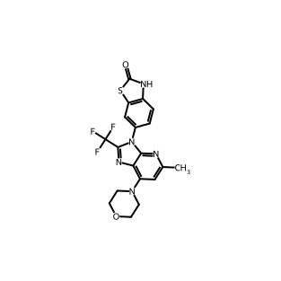 Cc1cc(N2CCOCC2)c2nc(C(F)(F)F)n(-c3ccc4[nH]c(=O)sc4c3)c2n1